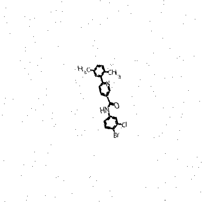 Cc1ccc(C)c(-c2ccc(C(=O)Nc3ccc(Br)c(Cl)c3)cn2)c1